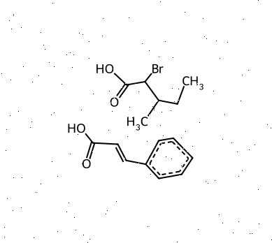 CCC(C)C(Br)C(=O)O.O=C(O)C=Cc1ccccc1